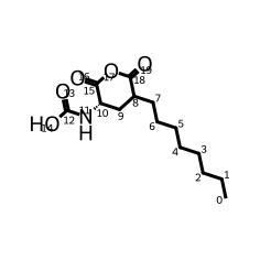 CCCCCCCCC1C[C@H](NC(=O)O)C(=O)OC1=O